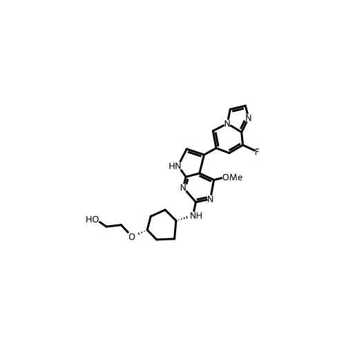 COc1nc(N[C@H]2CC[C@@H](OCCO)CC2)nc2[nH]cc(-c3cc(F)c4nccn4c3)c12